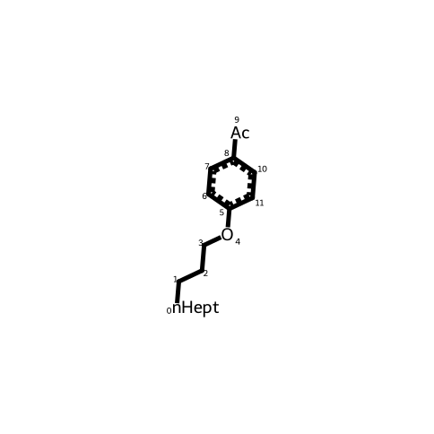 CCCCCCCCCCOc1ccc(C(C)=O)cc1